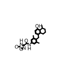 Cc1cc(NC(=O)c2noc(=O)[nH]2)cc(C)c1Cc1ccc(O)c2c1CCCC2C